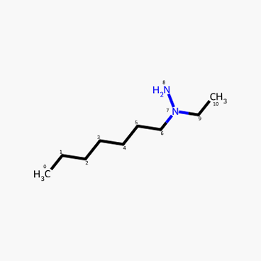 CCCCCCCN(N)CC